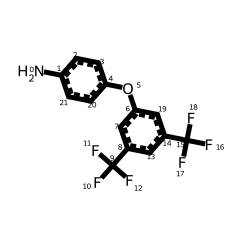 Nc1ccc(Oc2cc(C(F)(F)F)cc(C(F)(F)F)c2)cc1